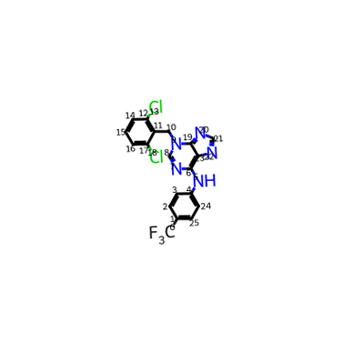 FC(F)(F)c1ccc(Nc2ncn(Cc3c(Cl)cccc3Cl)c3ncnc2-3)cc1